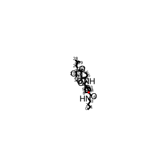 CCCCNC(=O)C12CCC(C(=O)N[C@@H]3CC[C@]4(CO4)[C@@H](C4(C)O[C@@H]4CC=C(C)C)[C@@H]3OC)(CC1)CC2